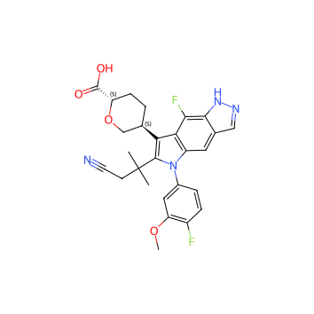 COc1cc(-n2c(C(C)(C)CC#N)c([C@@H]3CC[C@@H](C(=O)O)OC3)c3c(F)c4[nH]ncc4cc32)ccc1F